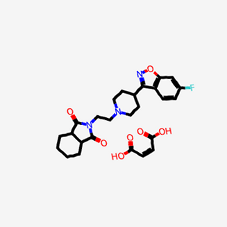 O=C(O)/C=C\C(=O)O.O=C1C2CCCCC2C(=O)N1CCN1CCC(c2noc3cc(F)ccc23)CC1